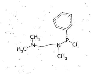 CN(C)CCN(C)P(Cl)c1ccccc1